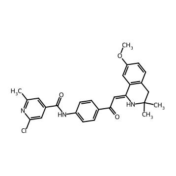 COc1ccc2c(c1)C(=CC(=O)c1ccc(NC(=O)c3cc(C)nc(Cl)c3)cc1)NC(C)(C)C2